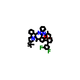 C=C1c2ccc3c(oc4cccc(-c5cc(F)cc(F)c5)c43)c2-c2n(-c3c(C)cc(C)cc3C)c3ccccc3[n+]2CC2c3ccccc3-c3ccc([Si](C)(C)C)c[n+]3C12